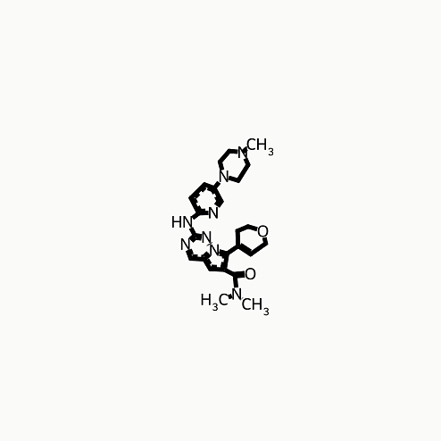 CN1CCN(c2ccc(Nc3ncc4cc(C(=O)N(C)C)c(C5=CCOCC5)n4n3)nc2)CC1